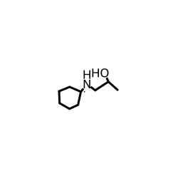 CC(O)CN[C]1CCCCC1